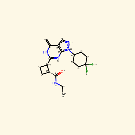 C=C1NC([C@@H]2CC[C@H]2C(=O)NCC(C)=O)=Nc2c1cnn2C1CCC(F)(F)CC1